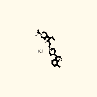 CCc1c(CCN2CCC(c3coc4c(C)cccc34)CC2)sc2c1CCN(C(C)=O)C2.Cl